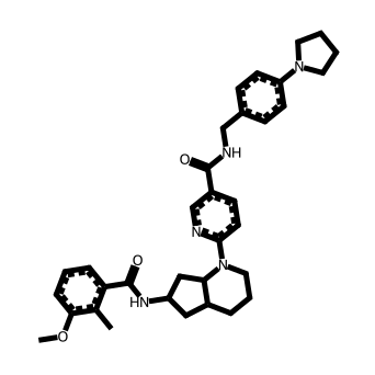 COc1cccc(C(=O)NC2CC3CCCN(c4ccc(C(=O)NCc5ccc(N6CCCC6)cc5)cn4)C3C2)c1C